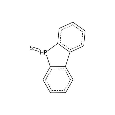 S=[PH]1c2ccccc2-c2ccccc21